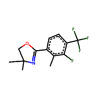 Cc1c(C2=NC(C)(C)CO2)ccc(C(F)(F)F)c1F